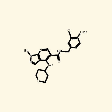 CCn1ncc2c(NC3CCOCC3)c(C(=O)NCc3ccc(OC)c(Cl)c3)cnc21